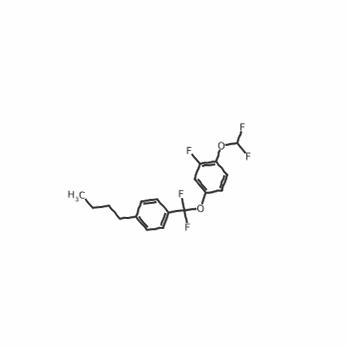 CCCCc1ccc(C(F)(F)Oc2ccc(OC(F)F)c(F)c2)cc1